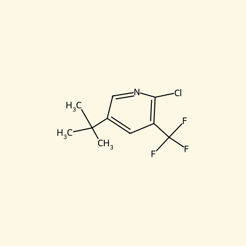 CC(C)(C)c1cnc(Cl)c(C(F)(F)F)c1